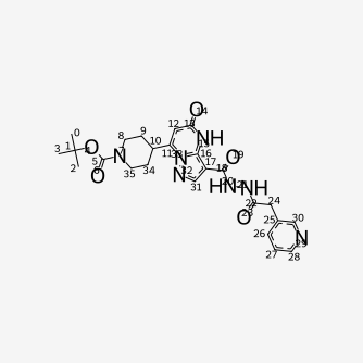 CC(C)(C)OC(=O)N1CCC(c2cc(=O)[nH]c3c(C(=O)NNC(=O)Cc4cccnc4)cnn23)CC1